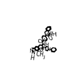 Cc1cc(CC(NC(=O)N2CCC(N3Cc4ccccc4NC3=O)CC2)C(=O)N2CCN(C3CCCCC3)CC2)cc2cn[nH]c12